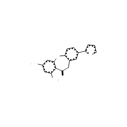 O=C1Cc2cc(-c3ccco3)ccc2Oc2cc(O)cc(O)c21